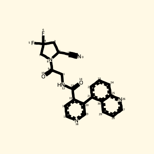 N#CC1CC(F)(F)CN1C(=O)CNC(=O)c1ccncc1-c1cccc2ncccc12